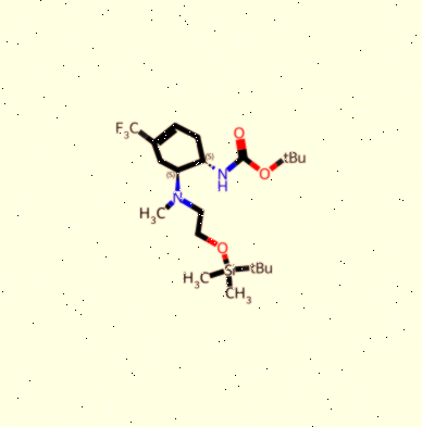 CN(CCO[Si](C)(C)C(C)(C)C)[C@H]1CC(C(F)(F)F)=CC[C@@H]1NC(=O)OC(C)(C)C